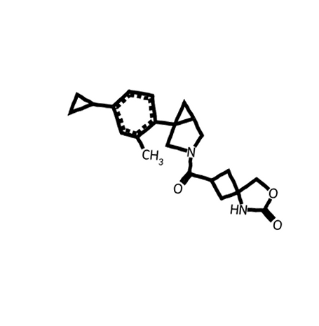 Cc1cc(C2CC2)ccc1C12CC1CN(C(=O)C1CC3(COC(=O)N3)C1)C2